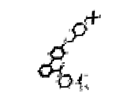 CC(C)(F)CN1CCC(COc2ccc(-c3ccccc3C(=O)N3CCC[C@@H](C(N)=O)C3)cc2)CC1